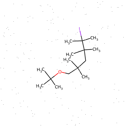 CC(C)(COC(C)(C)C)CC(C)(C)C(C)(C)I